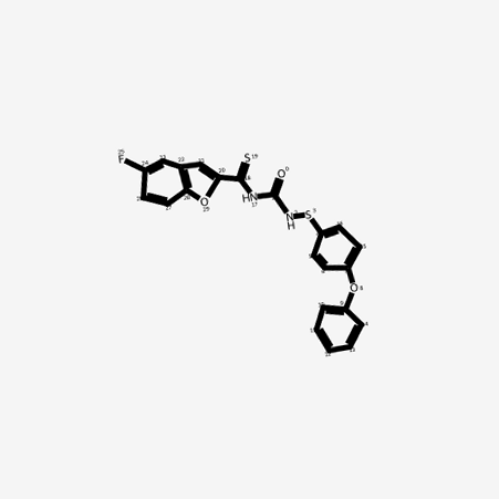 O=C(NSc1ccc(Oc2ccccc2)cc1)NC(=S)c1cc2cc(F)ccc2o1